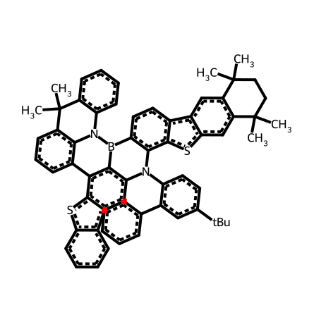 CC(C)(C)c1ccc(N2c3cc4c(sc5ccccc54)c4c3B(c3ccc5c(sc6cc7c(cc65)C(C)(C)CCC7(C)C)c32)N2c3ccccc3C(C)(C)c3cccc-4c32)c(-c2ccccc2)c1